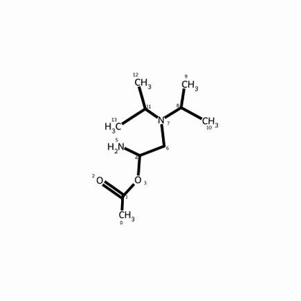 CC(=O)OC(N)CN(C(C)C)C(C)C